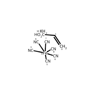 C=CC(=O)O.N#[C][Fe]([C]#N)([C]#N)([C]#N)([C]#N)[C]#N.[KH]